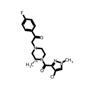 C[C@@H]1CN(CC(=O)c2ccc(F)cc2)CCN1C(=O)c1nn(C)cc1Cl